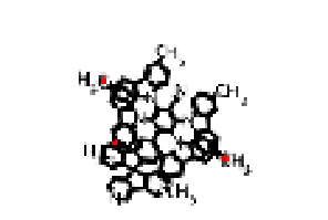 Cc1ccc2c(c1)c1cc(C)ccc1n2-c1c(C#N)c(-n2c3ccc(C)cc3c3cc(C)ccc32)c(-n2c3ccc(C)cc3c3cc(C)ccc32)c(-c2ccc3c(c2)-c2ccccc2C32c3ccncc3-c3cnccc32)c1-n1c2ccc(C)cc2c2cc(C)ccc21